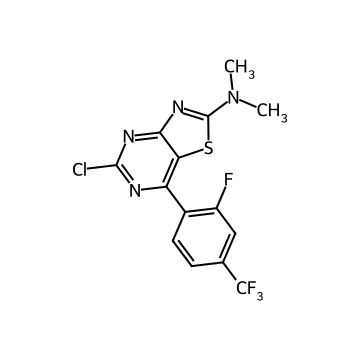 CN(C)c1nc2nc(Cl)nc(-c3ccc(C(F)(F)F)cc3F)c2s1